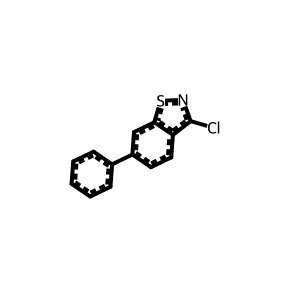 Clc1nsc2cc(-c3ccccc3)ccc12